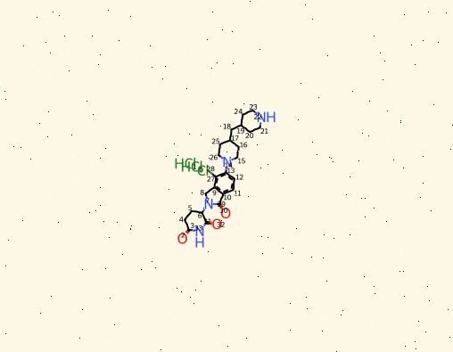 Cl.Cl.O=C1CCC(N2Cc3c(ccc(N4CCC(CC5CCNCC5)CC4)c3Cl)C2=O)C(=O)N1